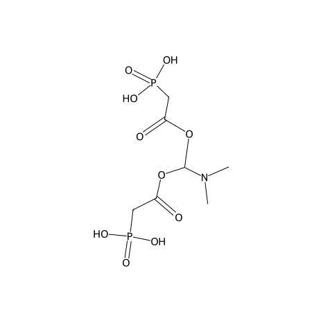 CN(C)C(OC(=O)CP(=O)(O)O)OC(=O)CP(=O)(O)O